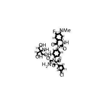 CNc1cc2[nH]c(=O)n(-c3ccc(N(C(N)=O)S(=O)(=O)c4ccc(Cl)s4)cc3)c(=O)c2cc1F.NC(CO)(CO)CO